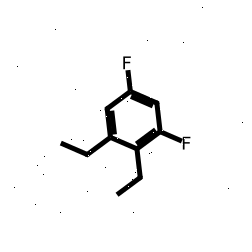 CCc1cc(F)cc(F)c1CC